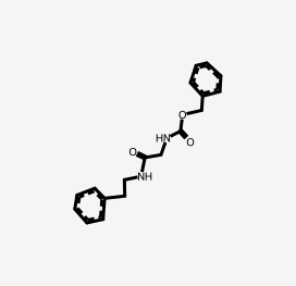 O=C(CNC(=O)OCc1ccccc1)NCCc1ccccc1